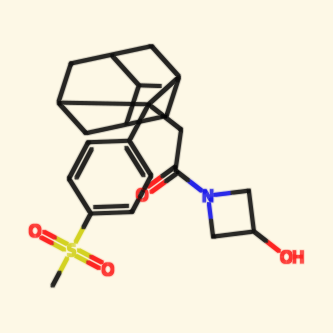 CC1C2CC3CC1CC(C2)C3(CC(=O)N1CC(O)C1)c1ccc(S(C)(=O)=O)cc1